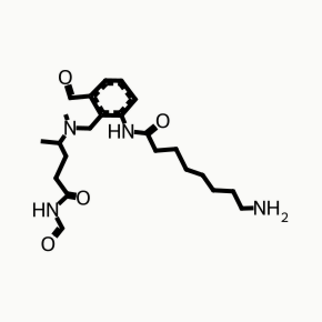 CC(CCC(=O)NC=O)N(C)Cc1c(C=O)cccc1NC(=O)CCCCCCCN